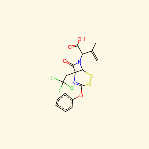 C=C(C)C(C(=O)O)N1C(=O)C2(CC(Cl)(Cl)Cl)N=C(Oc3ccccc3)SSC12